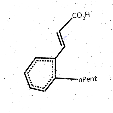 CCCCCc1ccccc1/C=C/C(=O)O